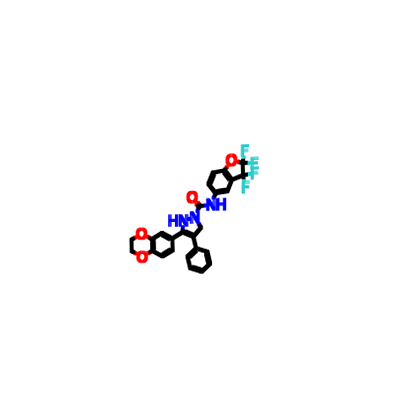 O=C(Nc1ccc2c(c1)C(F)(F)C(F)(F)O2)N1CC(c2ccccc2)=C(c2ccc3c(c2)OCCO3)N1